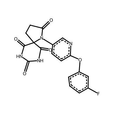 O=C1NC(=O)C2(CCC(=O)N2c2ccc(Oc3cccc(F)c3)nc2)C(=O)N1